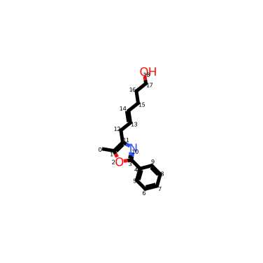 Cc1oc(-c2ccccc2)nc1CC=CCCCO